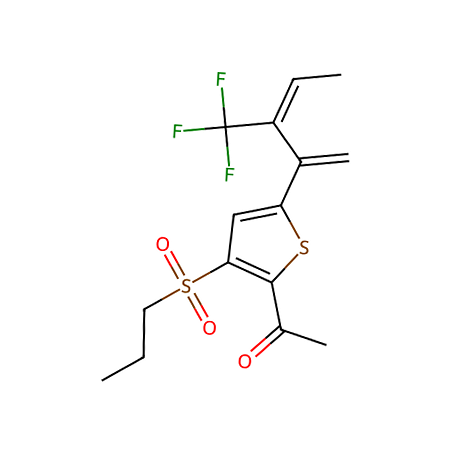 C=C(/C(=C\C)C(F)(F)F)c1cc(S(=O)(=O)CCC)c(C(C)=O)s1